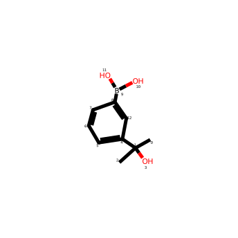 CC(C)(O)c1cccc(B(O)O)c1